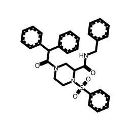 O=C(NCc1ccccc1)C1CN(C(=O)C(c2ccccc2)c2ccccc2)CCN1S(=O)(=O)c1ccccc1